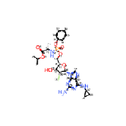 CC(C)OC(=O)[C@H](C)N[P@](=O)(OC[C@H]1O[C@@H](n2cnc3c(NC4CC4)nc(N)nc32)[C@@H](F)[C@@H]1O)Oc1ccccc1